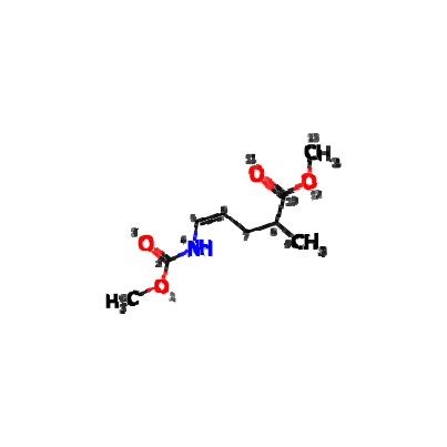 COC(=O)N/C=C\CC(C)C(=O)OC